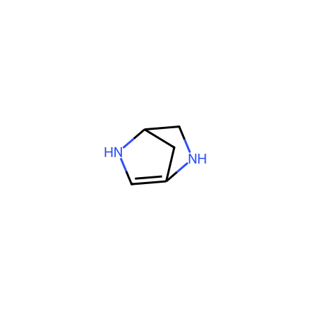 C1=C2CC(CN2)N1